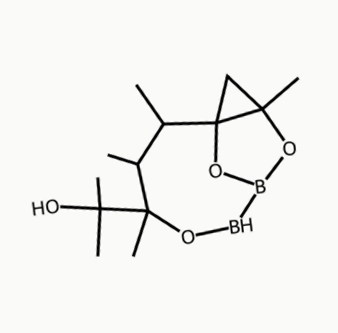 CC1C(C)C23CC2(C)OB(BOC1(C)C(C)(C)O)O3